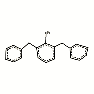 CCCc1c(Cc2ccccc2)cccc1Cc1ccccc1